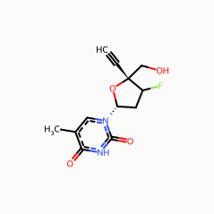 C#C[C@]1(CO)O[C@@H](n2cc(C)c(=O)[nH]c2=O)CC1F